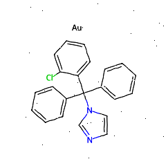 Clc1ccccc1C(c1ccccc1)(c1ccccc1)n1ccnc1.[Au]